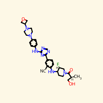 C[C@@H](CO)C(=O)N1CCC(Nc2ccc(-c3ncnc(Nc4ccc(N5CCN(C6COC6)CC5)cc4)n3)cc2C#N)[C@H](F)C1